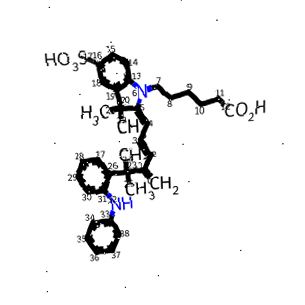 C=C(/C=C/C=C1/N(CCCCCC(=O)O)c2ccc(S(=O)(=O)O)cc2C1(C)C)C(C)(C)c1ccccc1Nc1ccccc1